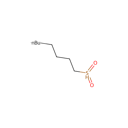 CCC[CH]CCCC[SH](=O)=O